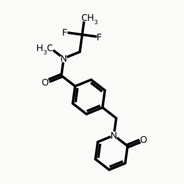 CN(CC(C)(F)F)C(=O)c1ccc(Cn2ccccc2=O)cc1